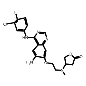 CN(CCOc1cc2ncnc(Nc3ccc(F)c(Cl)c3)c2cc1N)C1COC(=O)C1